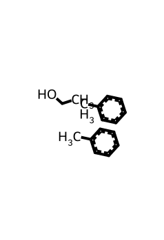 CCO.Cc1ccccc1.Cc1ccccc1